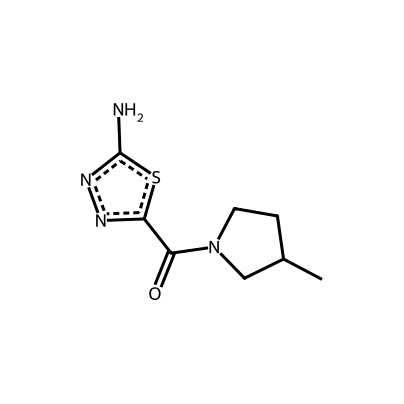 CC1CCN(C(=O)c2nnc(N)s2)C1